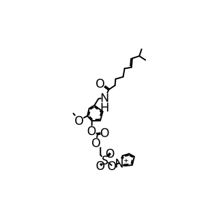 COc1cc(CNC(=O)CCCCC=CC(C)C)ccc1OC(=O)OCCS(=O)(=O)O[n+]1ccccc1